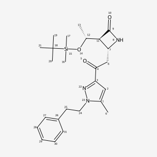 Cc1cc(C(=O)C[C@H]2NC(=O)[C@@H]2[C@@H](C)O[Si](C)(C)C(C)(C)C)nn1CCc1ccccc1